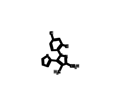 Cc1c(C(=O)O)nn(-c2ccc(Cl)cc2Cl)c1-c1cccs1